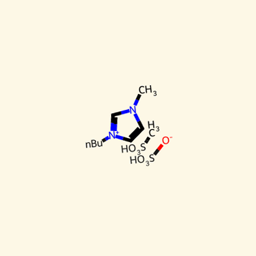 CCCC[n+]1ccn(C)c1.CS(=O)(=O)O.O=S(=O)([O-])O